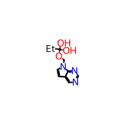 CCC(O)(O)OCn1ccc2cncnc21